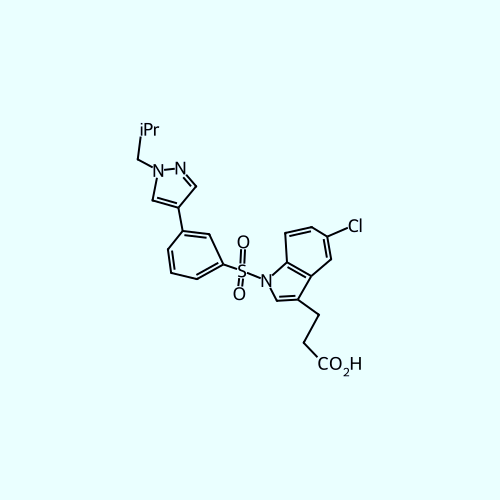 CC(C)Cn1cc(-c2cccc(S(=O)(=O)n3cc(CCC(=O)O)c4cc(Cl)ccc43)c2)cn1